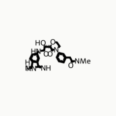 CNC(=O)Cc1cccc(N2CCO[C@H]([C@@H](O)C(=O)Nc3ccc4c(c3)C(=N)NC4=N)C2=O)c1